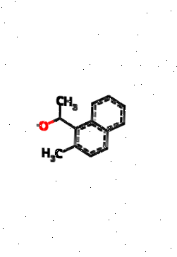 Cc1ccc2ccccc2c1C(C)[O]